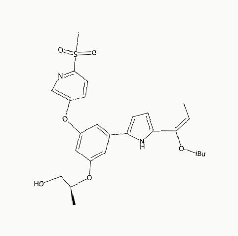 C/C=C(/OC(C)CC)c1ccc(-c2cc(Oc3ccc(S(C)(=O)=O)nc3)cc(O[C@@H](C)CO)c2)[nH]1